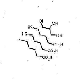 O=C(O)CCCCS.O=C(O)CCCCS.O=C(O)CCCCS.OCC(O)CO